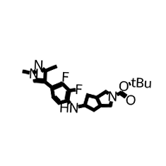 Cc1nn(C)cc1-c1ccc(NC2CC3CN(C(=O)OC(C)(C)C)CC3C2)c(F)c1F